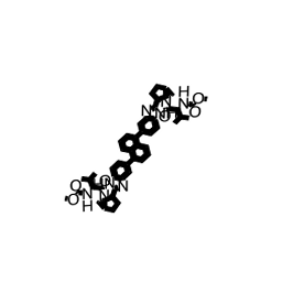 COC(=O)N[C@H](C(=O)N1CC2CCC1(c1nc3cc(-c4cccc5c(-c6ccc7[nH]c(C89CCC(CN8C(=O)[C@@H](NC(=O)OC)C(C)C)C9)nc7c6)cccc45)ccc3[nH]1)C2)C(C)C